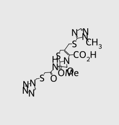 CO[C@@]1(NC(=O)CSCn2cnnn2)C(=O)N2C(C(=O)O)=C(CSc3ncnn3C)CSC21